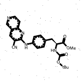 COC(=O)[C@H](Cc1ccc(Nc2nc3ccncc3cc2C#N)cc1)NC(=O)OC(C)(C)C